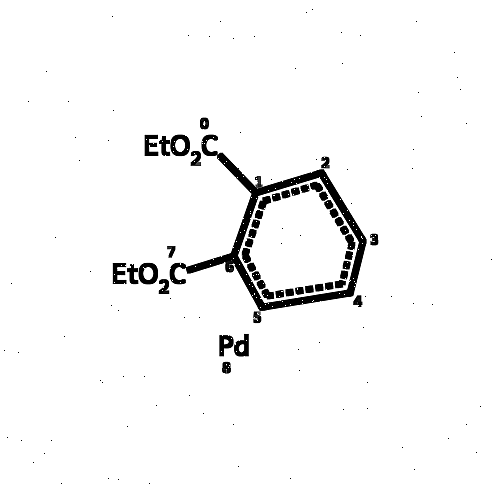 CCOC(=O)c1ccccc1C(=O)OCC.[Pd]